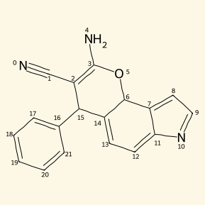 N#CC1=C(N)OC2C3=CC=NC3=CC=C2C1c1ccccc1